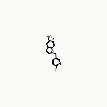 O=[N+]([O-])c1ccc2c(ccn2Cc2ccc(F)nc2)c1